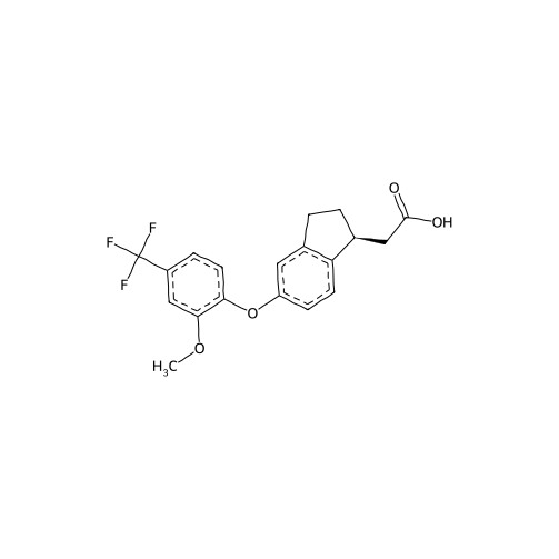 COc1cc(C(F)(F)F)ccc1Oc1ccc2c(c1)CC[C@H]2CC(=O)O